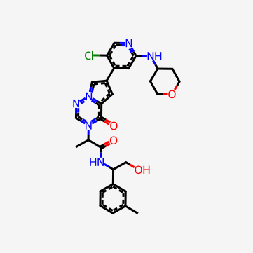 Cc1cccc(C(CO)NC(=O)C(C)n2cnn3cc(-c4cc(NC5CCOCC5)ncc4Cl)cc3c2=O)c1